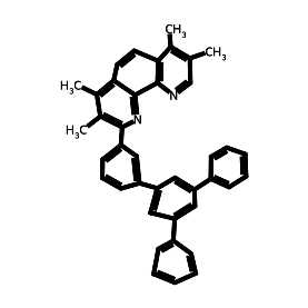 Cc1cnc2c(ccc3c(C)c(C)c(-c4cccc(-c5cc(-c6ccccc6)cc(-c6ccccc6)c5)c4)nc32)c1C